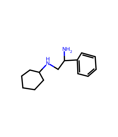 NC(CNC1CCCCC1)c1ccccc1